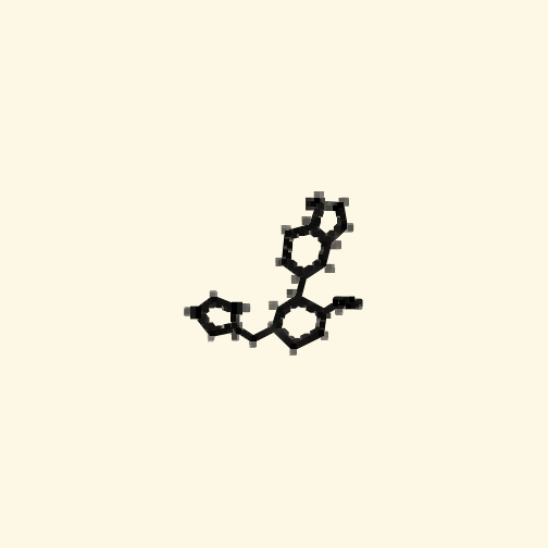 COc1ccc(Cn2cncn2)cc1-c1ccc2[nH]ccc2c1